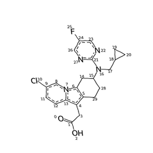 O=C(O)Cc1c2c(n3cc(Cl)ccc13)CC(N(CC1CC1)c1ncc(F)cn1)CC2